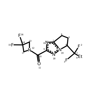 CCC(F)(F)C1CCc2nc(C(=O)N3CC(F)(F)C3)nn21